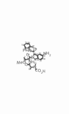 CO[C@H](C)[C@H](NC(=O)C(C)N(C)C(=O)O)C(=O)N1Cc2ccc(N)cc2[C@H]1C(=O)Nc1c(F)cccc1F